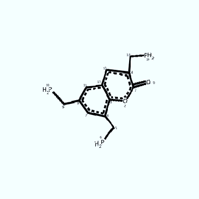 O=c1oc2c(CP)cc(CP)cc2cc1CP